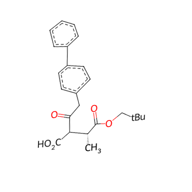 C[C@@H](C(=O)OCC(C)(C)C)C(C(=O)O)C(=O)Cc1ccc(-c2ccccc2)cc1